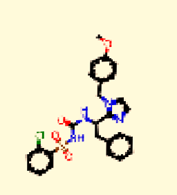 COc1ccc(Cn2ccnc2C(Cc2ccccc2)NC(=O)NS(=O)(=O)c2ccccc2Cl)cc1